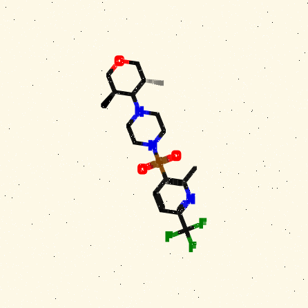 Cc1nc(C(F)(F)F)ccc1S(=O)(=O)N1CCN(C2[C@@H](C)COC[C@@H]2C)CC1